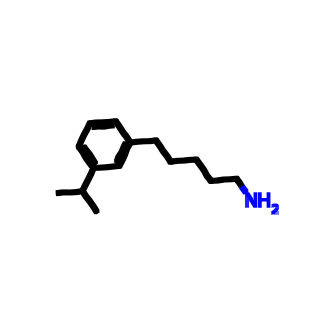 CC(C)c1cccc(CCCCCN)c1